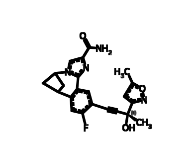 Cc1cc([C@](C)(O)C#Cc2cc3c(cc2F)C2CC(C2)n2cc(C(N)=O)nc2-3)no1